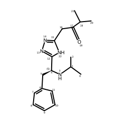 CC(C)N[C@@H](Cc1ccccc1)c1nnc(CC(=O)C(C)C)[nH]1